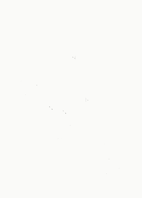 N#Cc1c(C2(c3ccc(Cl)cc3)CC2)nn2c(=O)c3cc(C4CC4)ccc3[nH]c12